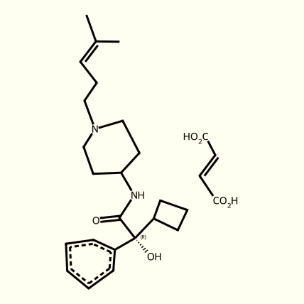 CC(C)=CCCN1CCC(NC(=O)[C@](O)(c2ccccc2)C2CCC2)CC1.O=C(O)C=CC(=O)O